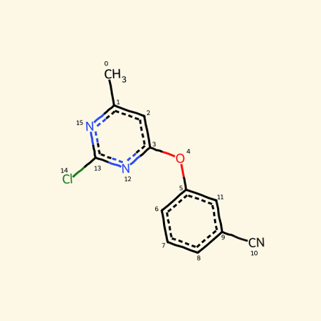 Cc1cc(Oc2cccc(C#N)c2)nc(Cl)n1